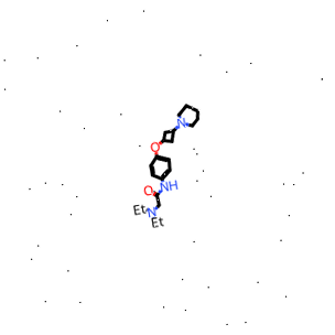 CCN(CC)CC(=O)Nc1ccc(OC2CC(N3CCCCC3)C2)cc1